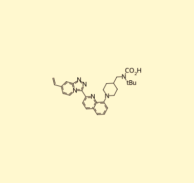 C=Cc1ccn2c(-c3ccc4cccc(N5CCC(CN(C(=O)O)C(C)(C)C)CC5)c4n3)nnc2c1